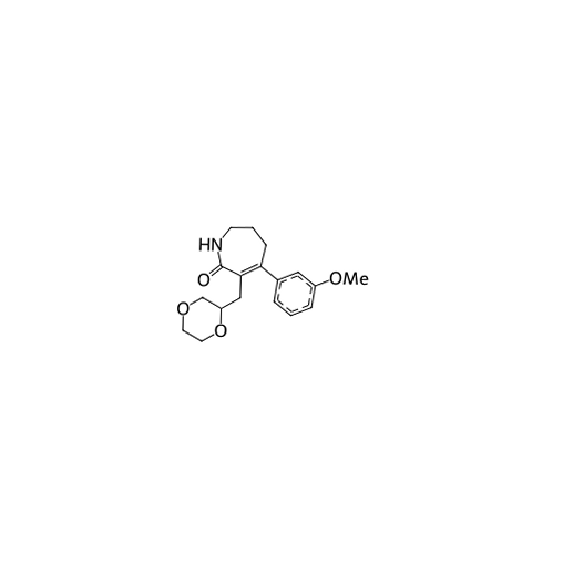 COc1cccc(C2=C(CC3COCCO3)C(=O)NCCC2)c1